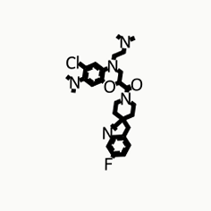 CN(C)CCN1CC(C(=O)N2CCC(C#N)(Cc3ccc(F)cc3)CC2)Oc2cc(N(C)C)c(Cl)cc21